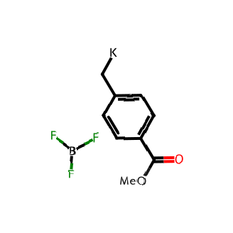 COC(=O)c1ccc([CH2][K])cc1.FB(F)F